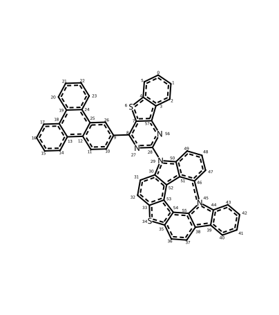 c1ccc2c(c1)sc1c(-c3ccc4c5ccccc5c5ccccc5c4c3)nc(-n3c4ccc5sc6ccc7c8ccccc8n8c9cccc3c9c4c5c6c78)nc12